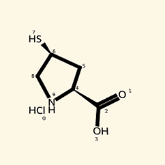 Cl.O=C(O)[C@@H]1C[C@H](S)CN1